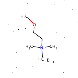 COCC[N+](C)(C)C.[BH4-]